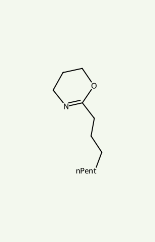 CCCCCCCCC1=NCCCO1